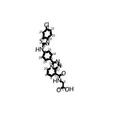 O=C(O)CNC(=O)c1cccn2c(-c3ccc(Nc4nc5ccc(Cl)cc5s4)cc3)nnc12